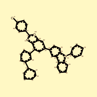 Clc1ccc(-c2nc3c(-c4cccc(-c5ccccc5)c4)cc(-c4ccc5c(c4)c4ccccc4n5-c4ccccc4)cc3o2)cc1